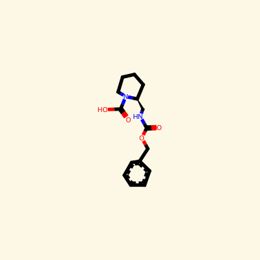 O=C(NC[C@@H]1CCCCN1C(=O)O)OCc1ccccc1